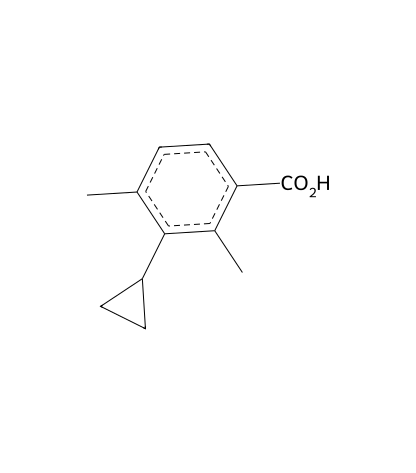 Cc1ccc(C(=O)O)c(C)c1C1CC1